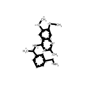 COc1cc2nc(C)nc(NC(C)c3cccc(CN)c3)c2cc1OC